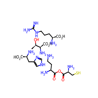 C[C@@H](O)[C@H](N)C(=O)O.N=C(N)NCCC[C@H](N)C(=O)O.NCCC(N)C(=O)OC(=O)[C@@H](N)CS.N[C@@H](Cc1c[nH]cn1)C(=O)O